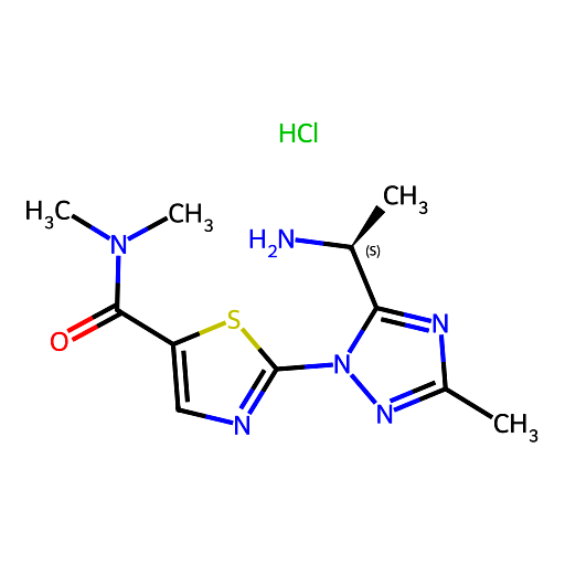 Cc1nc([C@H](C)N)n(-c2ncc(C(=O)N(C)C)s2)n1.Cl